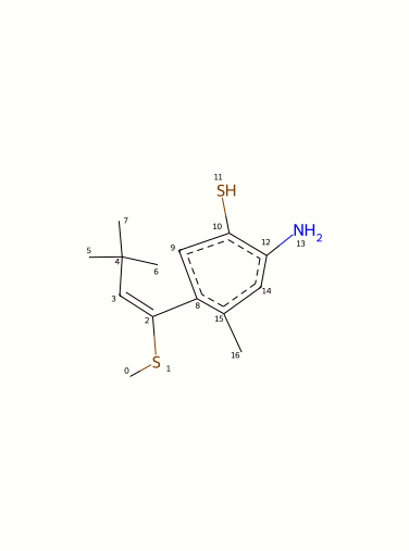 CS/C(=C/C(C)(C)C)c1cc(S)c(N)cc1C